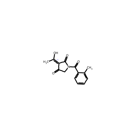 C/C(O)=C1\C(=O)CN(C(=O)c2ccccc2C)C1=O